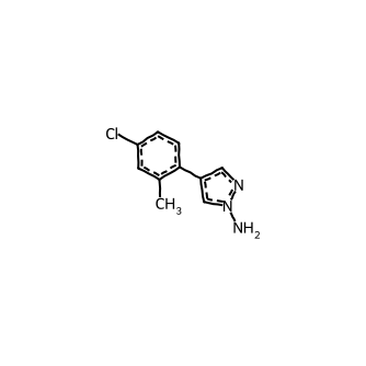 Cc1cc(Cl)ccc1-c1cnn(N)c1